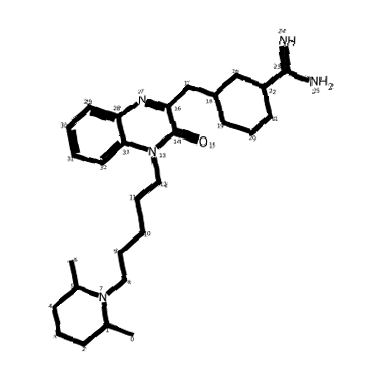 CC1CCCC(C)N1CCCCCn1c(=O)c(CC2CCCC(C(=N)N)C2)nc2ccccc21